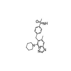 Cc1cc2ncnn2c(N2CCCCC2)c1Cc1ccc(S(C)(=N)=O)cc1